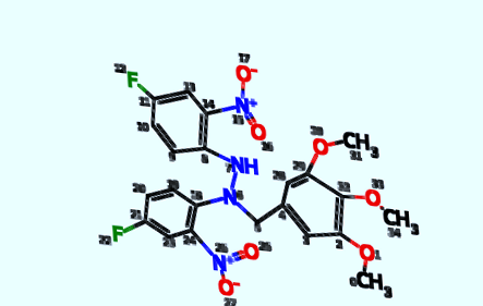 COc1cc(CN(Nc2ccc(F)cc2[N+](=O)[O-])c2ccc(F)cc2[N+](=O)[O-])cc(OC)c1OC